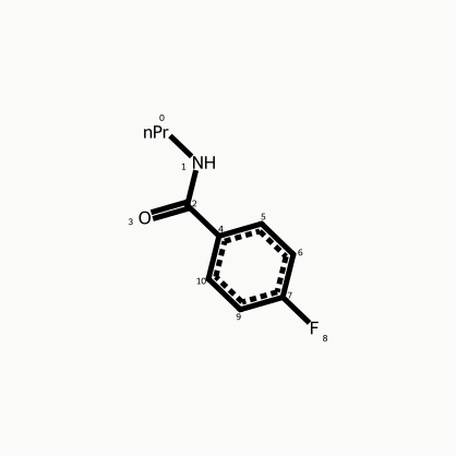 CCCNC(=O)c1ccc(F)cc1